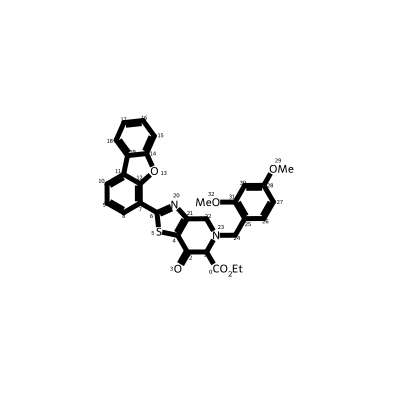 CCOC(=O)C1C(=O)c2sc(-c3cccc4c3oc3ccccc34)nc2CN1Cc1ccc(OC)cc1OC